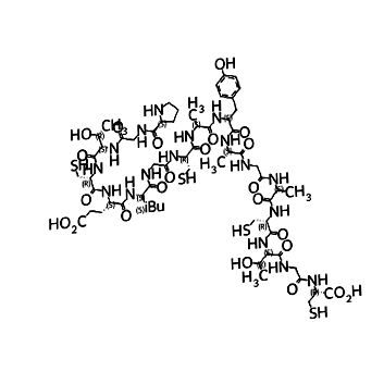 CC[C@H](C)[C@H](NC(=O)[C@H](CCC(=O)O)NC(=O)[C@H](CS)NC(=O)[C@@H](NC(=O)CNC(=O)[C@@H]1CCCN1)[C@@H](C)O)C(=O)NCC(=O)N[C@@H](CS)C(=O)N[C@@H](C)C(=O)N[C@@H](Cc1ccc(O)cc1)C(=O)N[C@@H](C)C(=O)NCC(=O)N[C@@H](C)C(=O)N[C@@H](CS)C(=O)N[C@H](C(=O)NCC(=O)N[C@@H](CS)C(=O)O)[C@@H](C)O